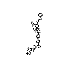 O=C(NS(=O)(=O)c1ccc(NCCSc2ccccc2)c(C(F)(F)F)c1)c1ccc(N2CCN(C(=O)c3ccc(-c4cncc(O)c4)c(F)c3)CC2)cc1